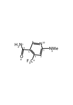 CNc1cc(C(F)(F)F)c(C(N)=O)cn1